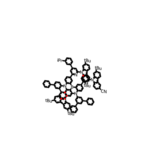 CC(C)c1cccc(-c2cc(-c3ccc4c(c3)B3c5cc(-c6cccc(-n7c8ccc(C#N)cc8c8ccc(C(C)(C)C)cc87)n6)ccc5N(c5cc(-c6ccccc6)cc(-c6ccccc6)c5)c5cc(-n6c7ccc(C(C)(C)C)cc7c7cc(C(C)(C)C)ccc76)cc(c53)N4c3ccc(-c4ccccc4)cc3-c3ccccc3)nc(-n3c4cc(C(C)(C)C)ccc4c4ccc(C(C)(C)C)cc43)c2)c1